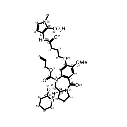 C=CCOC(=O)N1c2cc(OCCCC(=O)Nc3ccn(C)c3C(=O)O)c(OC)cc2C(=O)N2CCC[C@H]2[C@@H]1OC1CCCCO1